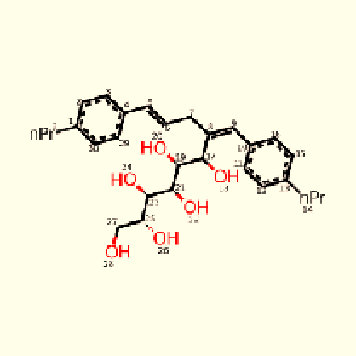 CCCc1ccc(C=CCC(=Cc2ccc(CCC)cc2)C(O)[C@H](O)[C@@H](O)[C@H](O)[C@H](O)CO)cc1